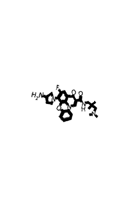 CN(C)CC(C)(C)CNC(=O)c1cn2c3c(c(N4CCC(N)C4)c(F)cc3c1=O)Oc1ccccc1-2